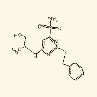 C[C@H](CO)Nc1cc(S(N)(=O)=O)nc(SCc2ccccc2)n1